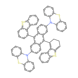 C1=c2sc3ccccc3c2=C(c2c3cc(N4c5ccccc5Sc5ccccc54)ccc3c(-c3cccc4sc5ccccc5c34)c3cc(N4c5ccccc5Sc5ccccc54)ccc23)CC1